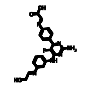 Nc1nc(Nc2cccc(N=CCO)c2)c(F)c(-c2ccc(N=CC(=O)O)cc2)n1